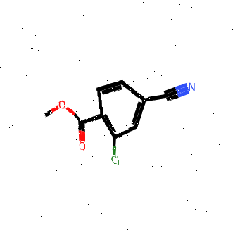 COC(=O)c1ccc(C#N)cc1Cl